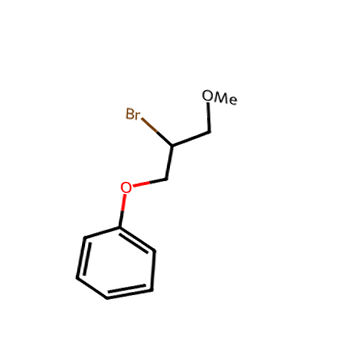 COCC(Br)COc1ccccc1